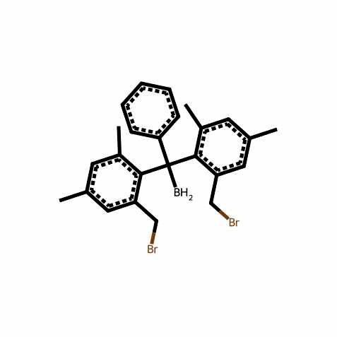 BC(c1ccccc1)(c1c(C)cc(C)cc1CBr)c1c(C)cc(C)cc1CBr